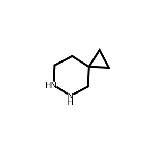 C1CC2(CC2)CNN1